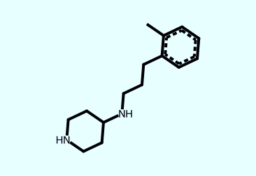 Cc1ccccc1CCCNC1CCNCC1